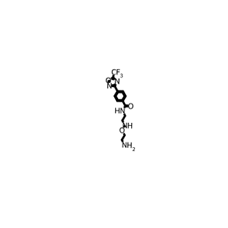 NCCONCCNC(=O)c1ccc(-c2noc(C(F)(F)F)n2)cc1